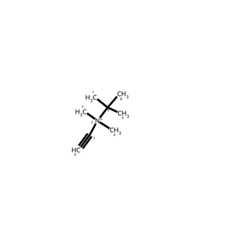 C#C[N+](C)(C)C(C)(C)C